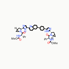 COC(=O)N[C@H](C(=O)N1C2C[C@@H]2C[C@H]1c1ncc(-c2ccc3cc(-c4ccc(-c5cnc([C@@H]6CC7C[C@H]7N6C(=O)[C@@H](NC(=O)OC)C(C)C)[nH]5)cc4)ccc3n2)[nH]1)C(C)C